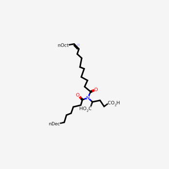 CCCCCCCC/C=C\CCCCCCCC(=O)N(C(=O)CCCCCCCCCCCCCCC)C(CCC(=O)O)C(=O)O